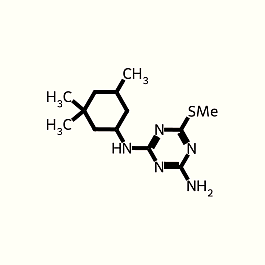 CSc1nc(N)nc(NC2CC(C)CC(C)(C)C2)n1